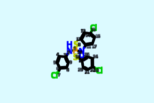 S=P(Nc1ccc(Cl)cc1)(Nc1ccc(Cl)cc1)Sc1ccc(Cl)cc1